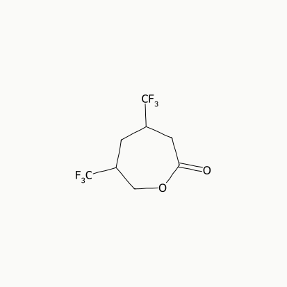 O=C1CC(C(F)(F)F)CC(C(F)(F)F)CO1